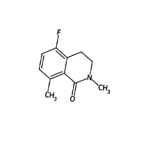 Cc1ccc(F)c2c1C(=O)N(C)CC2